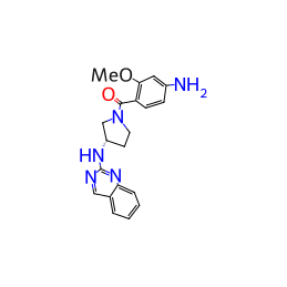 COc1cc(N)ccc1C(=O)N1CC[C@H](Nc2ncc3ccccc3n2)C1